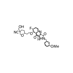 COc1cccc(CNC(=O)c2nc3ccc(F)c(OCCC4CCC(C#N)(CO)CO4)c3c(=O)[nH]2)c1